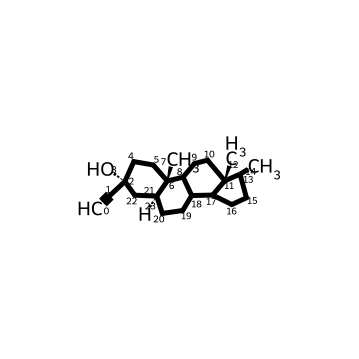 C#C[C@@]1(O)CC[C@]2(C)C3CC[C@]4(C)C(C)CCC4C3CC[C@H]2C1